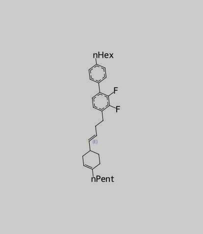 CCCCCCc1ccc(-c2ccc(CC/C=C/C3CC=C(CCCCC)CC3)c(F)c2F)cc1